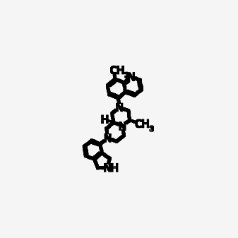 Cc1ccc(N2C[C@@H]3CN(c4cccc5c4CNC5)CCN3[C@H](C)C2)c2cccnc12